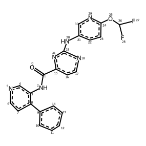 O=C(Nc1cnccc1-c1ccccc1)c1ccnc(Nc2ccc(OC(F)F)nc2)n1